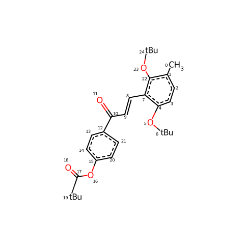 Cc1ccc(OC(C)(C)C)c(/C=C/C(=O)c2ccc(OC(=O)C(C)(C)C)cc2)c1OC(C)(C)C